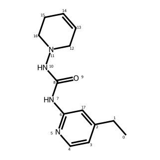 CCc1ccnc(NC(=O)NN2CC=CCC2)c1